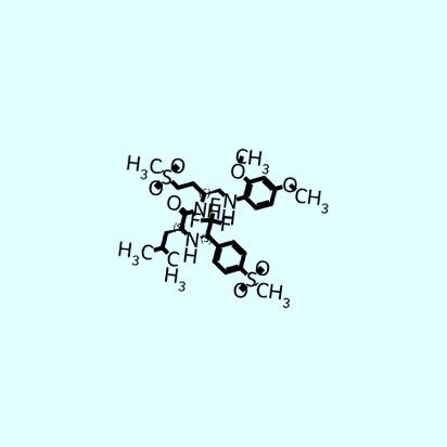 COc1ccc(NC[C@H](CCS(C)(=O)=O)NC(=O)[C@H](CC(C)C)N[C@@H](c2ccc(S(C)(=O)=O)cc2)C(F)(F)F)c(OC)c1